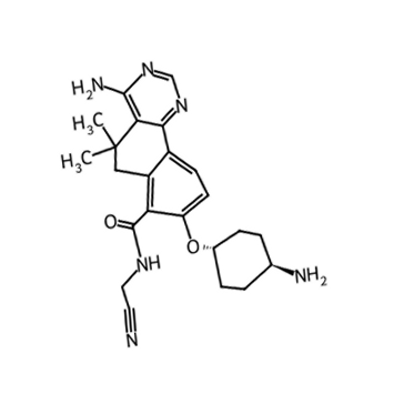 CC1(C)Cc2c(ccc(O[C@H]3CC[C@H](N)CC3)c2C(=O)NCC#N)-c2ncnc(N)c21